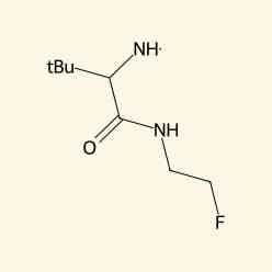 CC(C)(C)C([NH])C(=O)NCCF